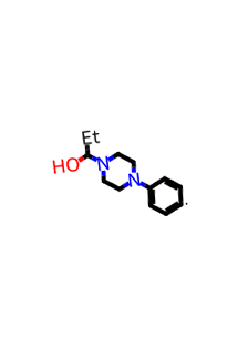 CCC(O)N1CCN(c2cc[c]cc2)CC1